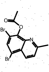 CC(=O)Oc1c(Br)cc(Br)c2ccc(C)nc12